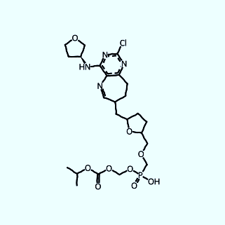 CC(C)OC(=O)OCOP(=O)(O)COCC1CCC(CC2C=Nc3c(nc(Cl)nc3N[C@H]3CCOC3)CC2)O1